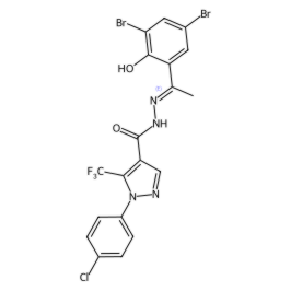 C/C(=N\NC(=O)c1cnn(-c2ccc(Cl)cc2)c1C(F)(F)F)c1cc(Br)cc(Br)c1O